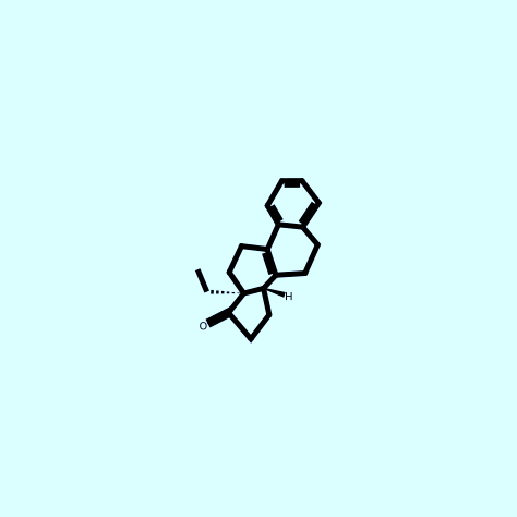 CC[C@]12CCC3=C(CCc4c[c]ccc43)[C@@H]1CCC2=O